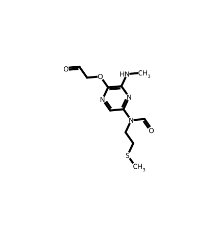 CNc1nc(N(C=O)CCSC)cnc1OCC=O